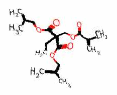 C=C(C)COC(=O)C(CC)(COC(=O)C(=C)C)C(=O)OCC(=C)C